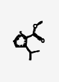 COC(=O)c1sccc1C(C)C